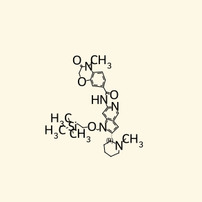 CN1C(=O)COc2cc(C(=O)Nc3cc4c(cn3)cc([C@H]3CCCCN3C)n4COCC[Si](C)(C)C)ccc21